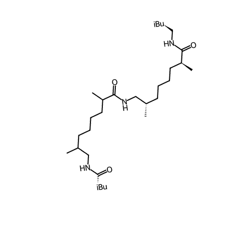 CC[C@H](C)CNC(=O)[C@@H](C)CCCC[C@H](C)CNC(=O)C(C)CCCCC(C)CNC(=O)[C@@H](C)CC